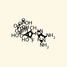 C[C@H]1[C@@H](n2cnc3c(N)nc(N)nc32)[C@H](F)[C@@]2(O)C(OP(=O)(O)OP(=O)(O)OP(=O)(O)O)[C@@H]12